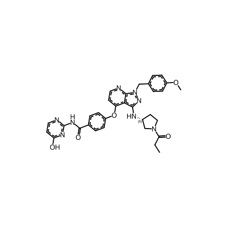 CCC(=O)N1CC[C@@H](Nc2nn(Cc3ccc(OC)cc3)c3nccc(Oc4ccc(C(=O)Nc5nccc(O)n5)cc4)c23)C1